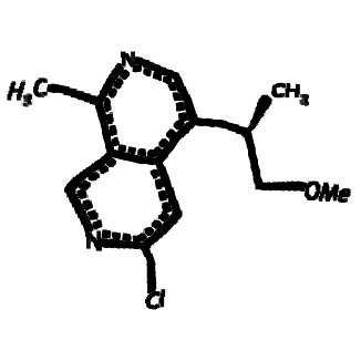 COC[C@H](C)c1cnc(C)c2cnc(Cl)cc12